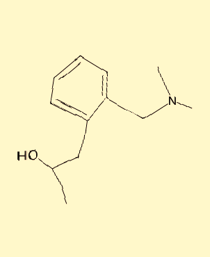 CC(O)Cc1ccccc1CN(C)C